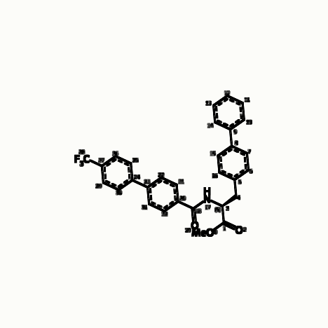 COC(=O)[C@H](Cc1ccc(-c2ccccc2)cc1)NC(=O)c1ccc(-c2ccc(C(F)(F)F)cc2)cc1